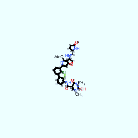 COc1nc(-c2cccc(-c3cccc(NC(=O)C4=CN(C)C(O)N(C)C4=O)c3F)c2Cl)cc2c1[C@@H](NC[C@@H]1CCC(=O)N1)CO2